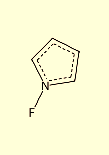 Fn1cccc1